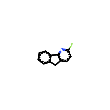 Fc1ccc2c(n1)-c1ccccc1C2